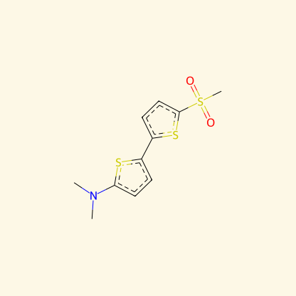 CN(C)c1ccc(-c2ccc(S(C)(=O)=O)s2)s1